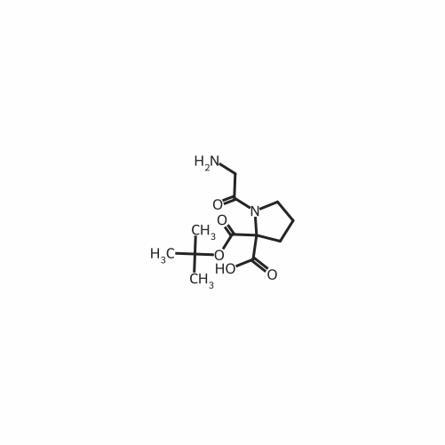 CC(C)(C)OC(=O)C1(C(=O)O)CCCN1C(=O)CN